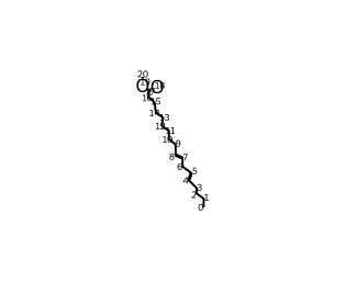 CCCC/C=C/C/C=C/CCCCCCCCC(=O)OC